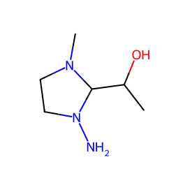 CC(O)C1N(C)CCN1N